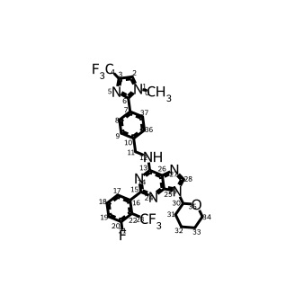 Cn1cc(C(F)(F)F)nc1-c1ccc(CNc2nc(-c3cccc(F)c3C(F)(F)F)nc3c2ncn3C2CCCCO2)cc1